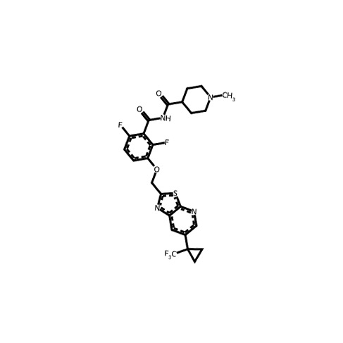 CN1CCC(C(=O)NC(=O)c2c(F)ccc(OCc3nc4cc(C5(C(F)(F)F)CC5)cnc4s3)c2F)CC1